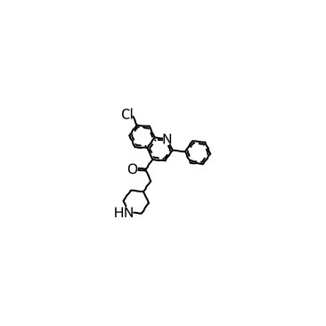 O=C(CC1CCNCC1)c1cc(-c2ccccc2)nc2cc(Cl)ccc12